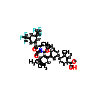 COc1ccc(-c2ccc(C(=O)O)cc2C)cc1C1=C(CN2C(=O)O[C@H](c3cc(C(F)(F)F)cc(C(F)(F)F)c3)[C@H]2C)CC(C)(C)CC1